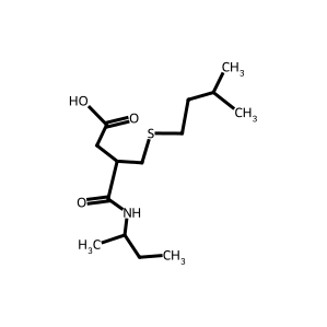 CCC(C)NC(=O)C(CSCCC(C)C)CC(=O)O